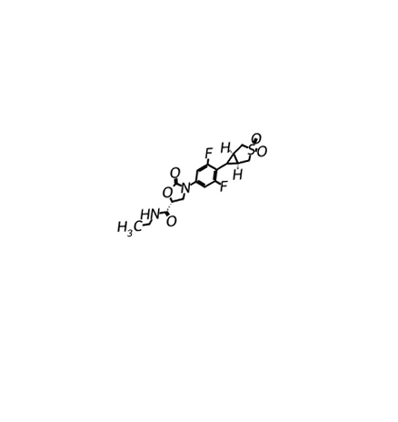 CCNC(=O)[C@H]1CN(c2cc(F)c(C3[C@H]4CS(=O)(=O)C[C@@H]34)c(F)c2)C(=O)O1